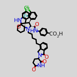 O=C1CCC(N2Cc3c(CCCCCN4[C@@H](C(=O)Nc5ccc(C(=O)O)cc5)[C@H](c5cccc(Cl)c5F)[C@]5(C(=O)Nc6cc(Cl)ccc65)C45CCCCC5)cccc3C2=O)C(=O)N1